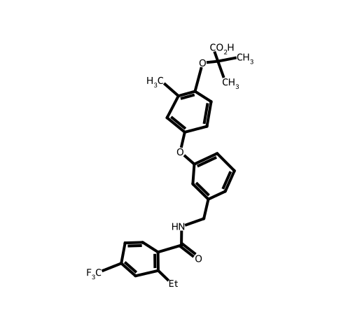 CCc1cc(C(F)(F)F)ccc1C(=O)NCc1cccc(Oc2ccc(OC(C)(C)C(=O)O)c(C)c2)c1